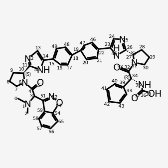 CN(C)C(C(=O)N1CCC[C@H]1c1ncc(-c2ccc(-c3ccc(-c4cnc([C@@H]5CCCN5C(=O)[C@H](NC(=O)O)c5ccccc5)[nH]4)cc3)cc2)[nH]1)c1noc2ccccc12